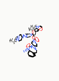 Cc1cc(C[C@@H](OC(=O)N2CCC(N3CCc4ccccc4NC3=O)CC2)C(=O)N2CCN(C3CCN(C)CC3)CC2)cc2c1N(C)CCO2